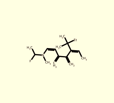 C=C(/C=C\N(C)C(C)F)C(=C)/C(=C\C)C(C)(C)CC